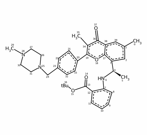 Cc1cc([C@@H](C)Nc2ccccc2C(=O)OC(C)(C)C)c2oc(-c3ccc(CN4CCN(C)CC4)cc3)c(C)c(=O)c2c1